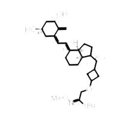 C=C1/C(=C\C=C2/CCC[C@]3(C)C([C@H](C)C4CC(OC/C(=N\OC)C(C)(C)C)C4)CC[C@@H]23)C[C@@H](O)C[C@@H]1O